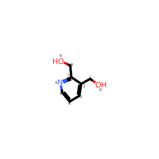 OCc1cccnc1CO